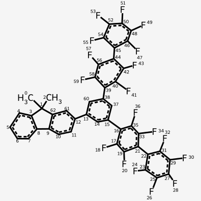 CC1(C)c2ccccc2-c2ccc(-c3cc(-c4c(F)c(F)c(-c5c(F)c(F)c(F)c(F)c5F)c(F)c4F)cc(-c4c(F)c(F)c(-c5c(F)c(F)c(F)c(F)c5F)c(F)c4F)c3)cc21